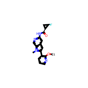 CCOc1ncccc1-c1cc2cc(NC(=O)[C@H]3C[C@H]3F)ncc2n1C